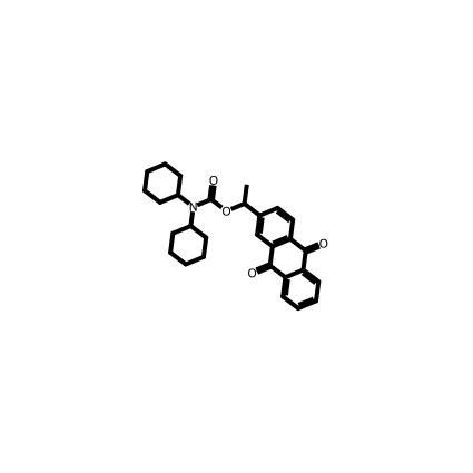 CC(OC(=O)N(C1CCCCC1)C1CCCCC1)c1ccc2c(c1)C(=O)c1ccccc1C2=O